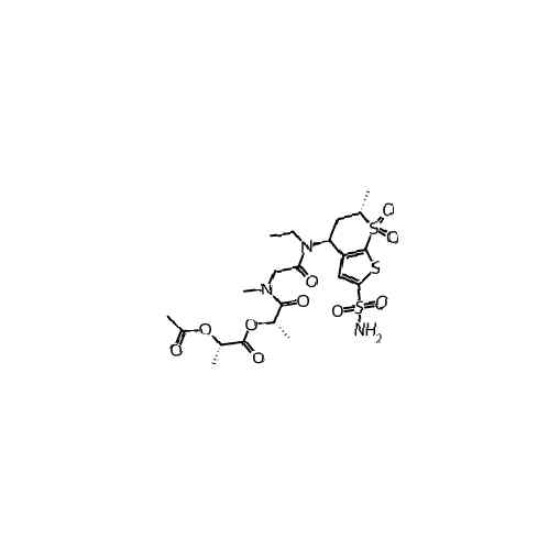 CCN(C(=O)CN(C)C(=O)[C@H](C)OC(=O)[C@H](C)OC(C)=O)[C@H]1C[C@H](C)S(=O)(=O)c2sc(S(N)(=O)=O)cc21